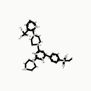 CCS(=O)(=O)c1ccc(-c2cc(N3CCN(c4ncccc4C(F)(F)F)CC3)nc(N3CCOCC3)n2)cc1